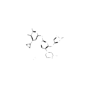 Cc1nc(Nc2ncc(N3CCN[C@H](C)C3)c(Nc3cnn(C)n3)n2)cc(C2CC2)c1F.Cl.Cl